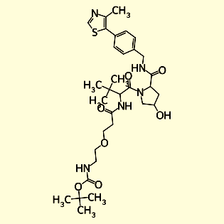 Cc1ncsc1-c1ccc(CNC(=O)C2CC(O)CN2C(=O)C(NC(=O)CCOCCNC(=O)OC(C)(C)C)C(C)(C)C)cc1